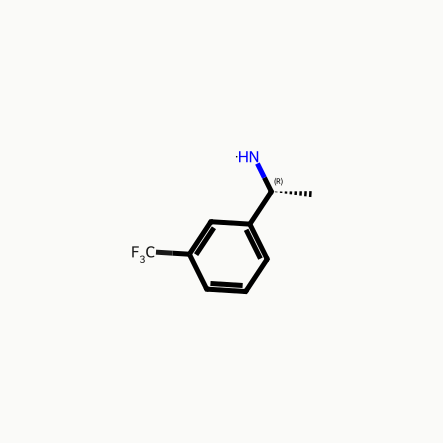 C[C@@H]([NH])c1cccc(C(F)(F)F)c1